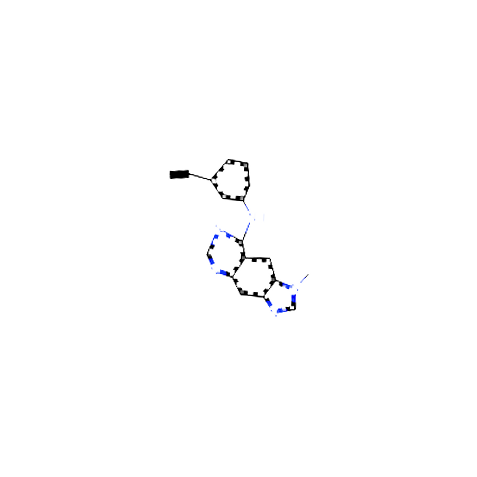 C#Cc1cccc(Nc2ncnc3cc4ncn(C)c4cc23)c1